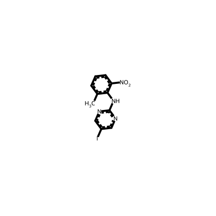 Cc1cccc([N+](=O)[O-])c1Nc1ncc(I)cn1